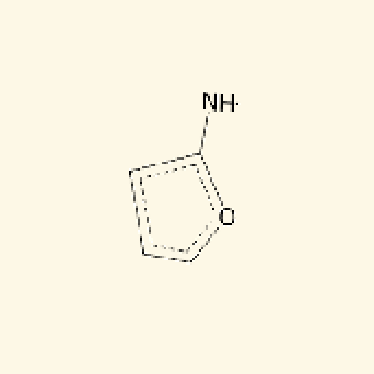 [NH]c1ccco1